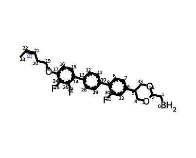 BCC1OCC(c2ccc(-c3ccc(-c4ccc(OCC/C=C\C)c(F)c4F)cc3)c(F)c2)CO1